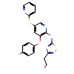 OCCc1nsc(Nc2ncc(Sc3ccccn3)cc2Oc2ccc(F)cc2)n1